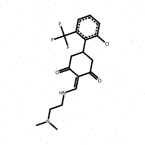 CN(C)CCNC=C1C(=O)CC(c2c(Cl)cccc2C(F)(F)F)CC1=O